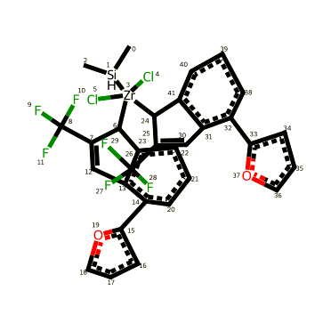 C[SiH](C)[Zr]([Cl])([Cl])([CH]1C(C(F)(F)F)=Cc2c(-c3ccco3)cccc21)[CH]1C(C(F)(F)F)=Cc2c(-c3ccco3)cccc21